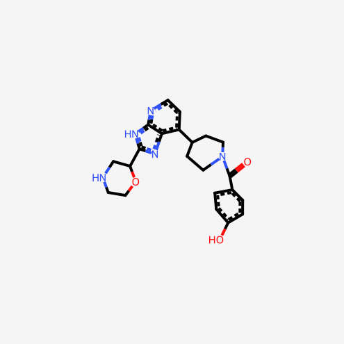 O=C(c1ccc(O)cc1)N1CCC(c2ccnc3[nH]c(C4CNCCO4)nc23)CC1